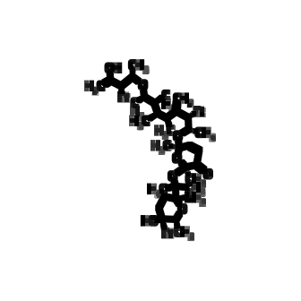 C=C([C@@H](C)[C@@H](C)[C@H](C)[C@@H](C)O[C@H](C)[C@@H](CC)C(=C)O)[C@H](CC)[C@H](C)O[C@@]1(C)C=CC(=O)[C@@](C)(OC(C)(C)[C@@]2(N)CC[C@](O)(CC)[C@H](C)O2)O1